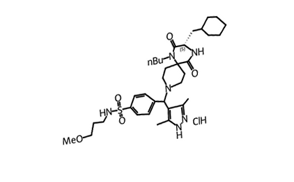 CCCCN1C(=O)[C@H](CC2CCCCC2)NC(=O)C12CCN(C(c1ccc(S(=O)(=O)NCCCOC)cc1)c1c(C)n[nH]c1C)CC2.Cl